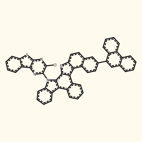 Clc1nc2sc3ccccc3c2nc1-n1c2ccccc2c2c3ccccc3c3c(sc4ccc5cc(-c6cc7ccccc7c7ccccc67)ccc5c43)c21